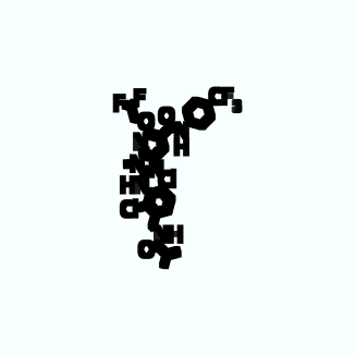 C=C(C)C(=O)NCc1ccc(Cl)c(Nc2nc3cc(C(=O)N[C@H]4CC[C@H](C(F)(F)F)CC4)c(OCC(F)F)nc3n2C)c1Cl